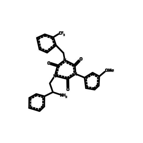 COc1cccc(-n2c(=O)n(Cc3ccccc3C(F)(F)F)c(=O)n(CC(N)c3ccccc3)c2=O)c1